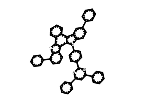 c1ccc(-c2ccc3c(c2)c2c4ccccc4c4sc5c(-c6ccccc6)cccc5c4c2n3-c2ccc(-c3nc(-c4ccccc4)cc(-c4ccccc4)n3)cc2)cc1